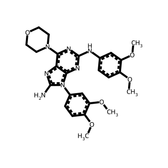 COc1ccc(Nc2nc(N3CCOCC3)c3nc(N)n(-c4ccc(OC)c(OC)c4)c3n2)cc1OC